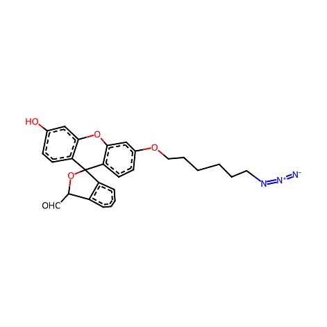 [N-]=[N+]=NCCCCCCOc1ccc2c(c1)Oc1cc(O)ccc1C21OC(C=O)c2ccccc21